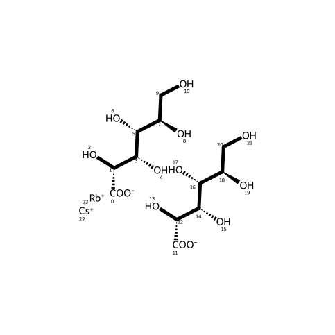 O=C([O-])[C@H](O)[C@@H](O)[C@H](O)[C@H](O)CO.O=C([O-])[C@H](O)[C@@H](O)[C@H](O)[C@H](O)CO.[Cs+].[Rb+]